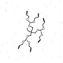 C=CCOP(OCC=C)OCC(CC)(COP(OCC=C)OCC=C)COP(OCC=C)OCC=C